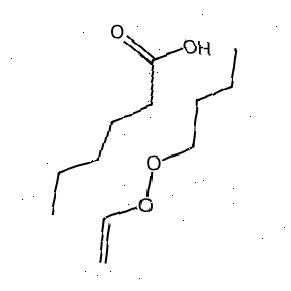 C=COOCCCC.CCCCCC(=O)O